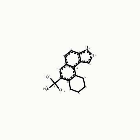 CC(C)(N)c1nc2ccc3[nH]ncc3c2c2c1CCCC2